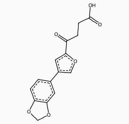 O=C(O)CCC(=O)c1cc(-c2ccc3c(c2)OCO3)co1